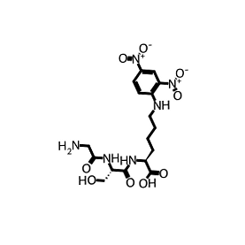 NCC(=O)N[C@@H](CO)C(=O)N[C@@H](CCCCNc1ccc([N+](=O)[O-])cc1[N+](=O)[O-])C(=O)O